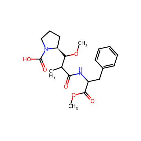 COC(=O)C(Cc1ccccc1)NC(=O)C(C)C(OC)[C@@H]1CCCN1C(=O)O